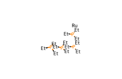 CCP(CC)CC.CCP(CC)CC.CCP(CC)CC.CCP(CC)CC.[Ru]